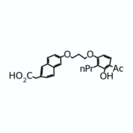 CCCc1c(OCCCOc2ccc3cc(CC(=O)O)ccc3c2)ccc(C(C)=O)c1O